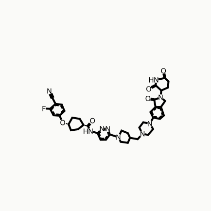 N#Cc1ccc(O[C@H]2CC[C@H](C(=O)Nc3ccc(N4CCC(CN5CCN(c6ccc7c(c6)C(=O)N(C6CCC(=O)NC6=O)C7)CC5)CC4)nn3)CC2)cc1F